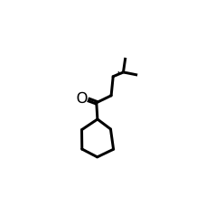 C[C](C)CCC(=O)C1CCCCC1